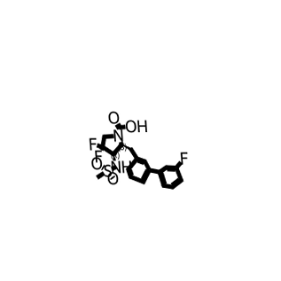 CS(=O)(=O)N[C@@H]1[C@H](Cc2cccc(-c3cccc(F)c3)c2)N(C(=O)O)CC1(F)F